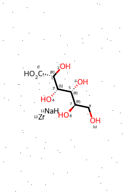 O=C(O)[C@H](O)[C@@H](O)[C@H](O)[C@H](O)CO.[NaH].[Zr]